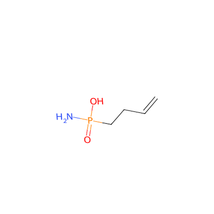 C=CCCP(N)(=O)O